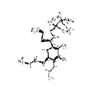 C=C/C=C(\SCC(C)(C)C(C)(C)C)C1=C(C)C(C)=C(CSC)/C(=N/SN=C)C1